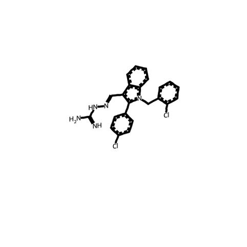 N=C(N)NN=Cc1c(-c2ccc(Cl)cc2)n(Cc2ccccc2Cl)c2ccccc12